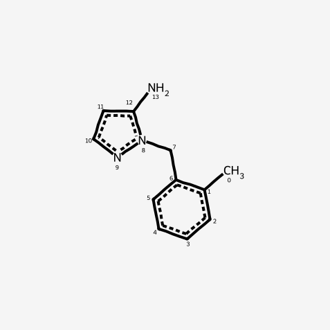 Cc1ccccc1Cn1nccc1N